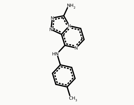 Cc1ccc(Nc2nccn3c(N)nnc23)cc1